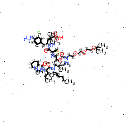 CCCCCCN(C(=O)[C@@H](NC(=O)[C@H]1CCCCN1C)[C@@H](C)CC)[C@H](C[C@@H](OC(=O)NCCOCCOCCOC(C)C)c1nc(C(=O)N[C@@H](Cc2ccc(N)c(F)c2)CC(C)(C)C(=O)O)cs1)C(C)C